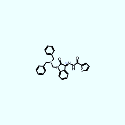 O=C(N/N=C1/C(=O)N(CN(Cc2ccccc2)Cc2ccccc2)c2ccccc21)c1cccs1